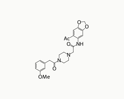 COc1cccc(CC(=O)N2CCN(CC(=O)Nc3cc4c(cc3C(C)=O)OCO4)CC2)c1